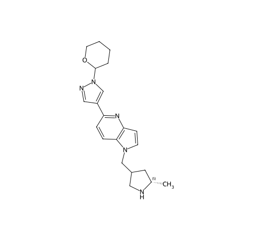 C[C@H]1CC(Cn2ccc3nc(-c4cnn(C5CCCCO5)c4)ccc32)CN1